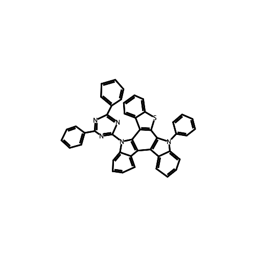 c1ccc(-c2nc(-c3ccccc3)nc(-n3c4ccccc4c4c5c6ccccc6n(-c6ccccc6)c5c5sc6ccccc6c5c43)n2)cc1